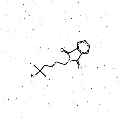 CC(C)(Br)CCCCN1C(=O)c2ccccc2C1=O